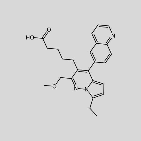 CCc1ccc2c(-c3ccc4ncccc4c3)c(CCCCC(=O)O)c(COC)nn12